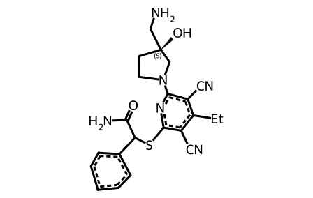 CCc1c(C#N)c(SC(C(N)=O)c2ccccc2)nc(N2CC[C@](O)(CN)C2)c1C#N